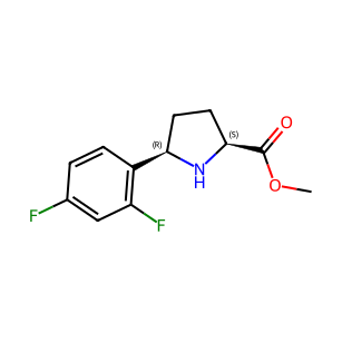 COC(=O)[C@@H]1CC[C@H](c2ccc(F)cc2F)N1